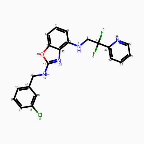 FC(F)(CNc1cccc2oc(NCc3cccc(Cl)c3)nc12)c1ccccn1